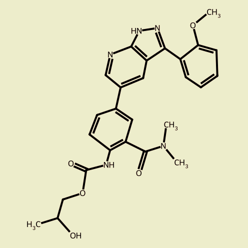 COc1ccccc1-c1n[nH]c2ncc(-c3ccc(NC(=O)OCC(C)O)c(C(=O)N(C)C)c3)cc12